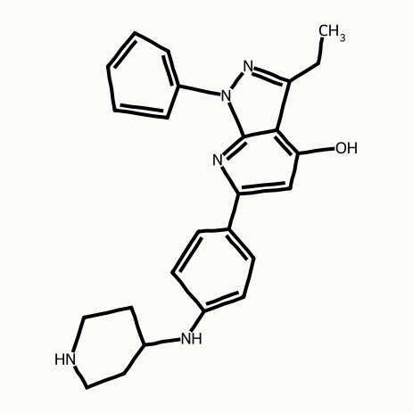 CCc1nn(-c2ccccc2)c2nc(-c3ccc(NC4CCNCC4)cc3)cc(O)c12